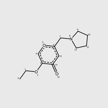 CCOc1coc(CN2CCCC2)cc1=O